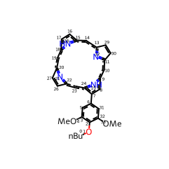 CCCCOc1c(OC)cc(-c2cc3cc4nc(cc5ccc(cc6nc(cc2[nH]3)C=C6)[nH]5)C=C4)cc1OC